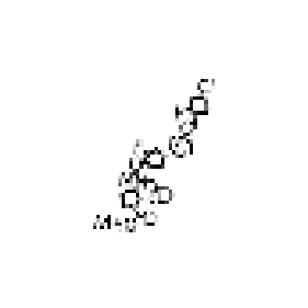 COC(=O)c1ccc2nc(Oc3ccc(-c4cccc(OCc5ccc(Cl)cc5F)n4)cc3F)n(CC3CCCO3)c2c1